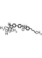 CCCCCc1ccc(C(=O)Nc2ccc(-c3ccc4c(c3)C(C)N(C(CC)C(=O)O)C4=O)cc2)cc1